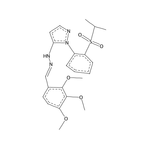 COc1ccc(C=NNc2ccnn2-c2ccccc2S(=O)(=O)C(C)C)c(OC)c1OC